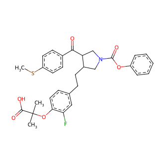 CSc1ccc(C(=O)C2CN(C(=O)Oc3ccccc3)CC2CCc2ccc(OC(C)(C)C(=O)O)c(F)c2)cc1